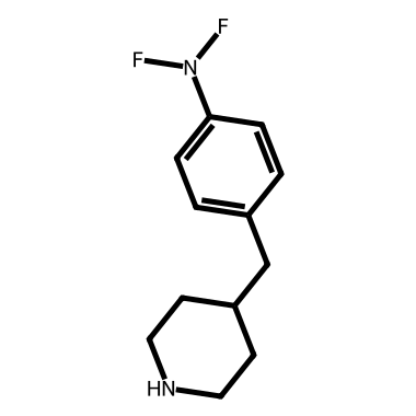 FN(F)c1ccc(CC2CCNCC2)cc1